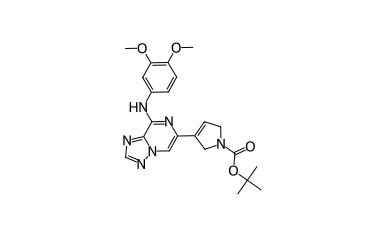 COc1ccc(Nc2nc(C3=CCN(C(=O)OC(C)(C)C)C3)cn3ncnc23)cc1OC